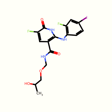 CC(O)COCNC(=O)c1cc(F)c(=O)[nH]c1Nc1ccc(I)cc1F